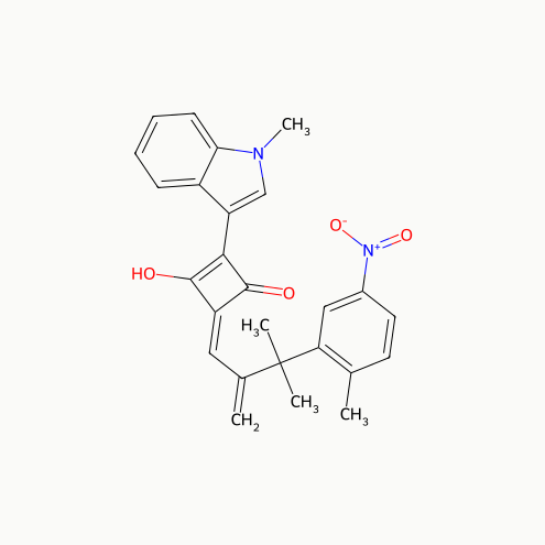 C=C(/C=C1\C(=O)C(c2cn(C)c3ccccc23)=C1O)C(C)(C)c1cc([N+](=O)[O-])ccc1C